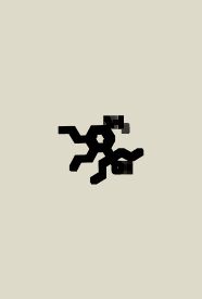 CCCc1cccc(C(O)(CCC)CCC)c1CCC.N